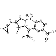 CC(=O)N(c1cc([N+](=O)[O-])ccc1F)C1CSC(=NC2CC2)N1C.Cl